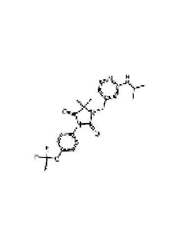 CC(C)Nc1cc(CN2C(=O)N(c3ccc(OC(F)(F)F)cc3)C(=O)C2(C)C)ccn1